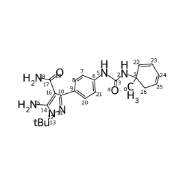 CC1(NC(=O)Nc2ccc(-c3nn(C(C)(C)C)c(N)c3C(N)=O)cc2)C=CC=CC1